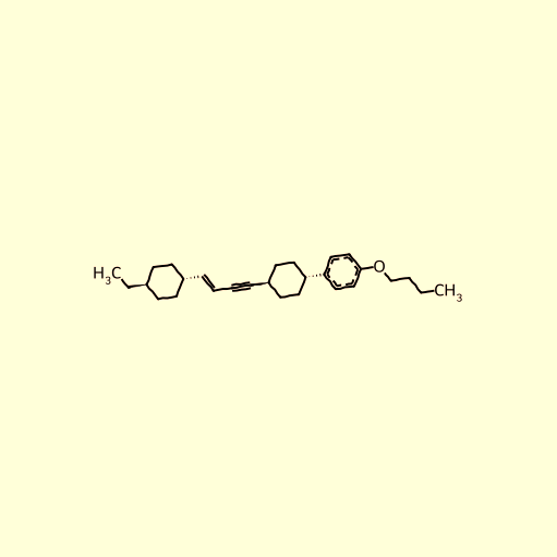 CCCCOc1ccc([C@H]2CC[C@H](C#C/C=C/[C@H]3CC[C@H](CC)CC3)CC2)cc1